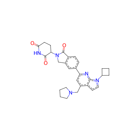 O=C1CCC(N2Cc3cc(-c4cc(CN5CCCC5)c5ccn(C6CCC6)c5n4)ccc3C2=O)C(=O)N1